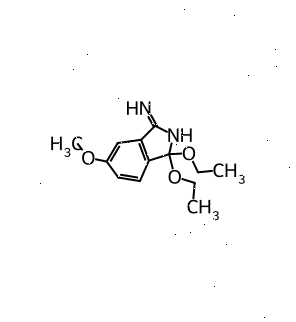 CCOC1(OCC)NC(=N)c2cc(OC)ccc21